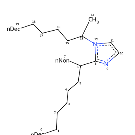 CCCCCCCCCCCCCCCC(CCCCCCCCC)c1nccn1C(C)CCCCCCCCCCCCCC